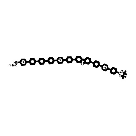 CCCCCCNC12CCC(c3ccc(-c4ccc(-c5ccc(C67CCC(c8ccc(-c9ccc%10c(c9)oc9cc(-c%11ccc(C%12%13CCC(c%14ccc(B%15OC(C)(C)C(C)(C)O%15)cc%14)(CC%12)CC%13)cc%11)ccc9%10)cc8)(CC6)CC7)cc5)cc4)cc3)(CC1)CC2